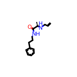 C=CCN[C@H](C)C(=O)NCCCc1ccccc1